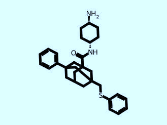 N[C@H]1CC[C@H](NC(=O)C23CC4CC(CSc5ccccc5)(C2)CC(c2ccccc2)(C4)C3)CC1